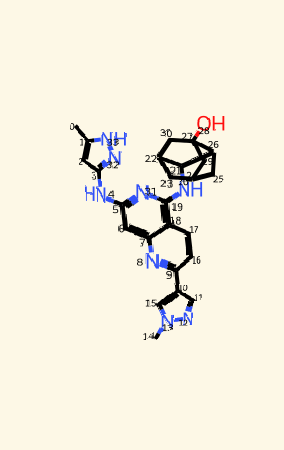 Cc1cc(Nc2cc3nc(-c4cnn(C)c4)ccc3c(NC3C4CC5CC3C(O)(C5)C4)n2)n[nH]1